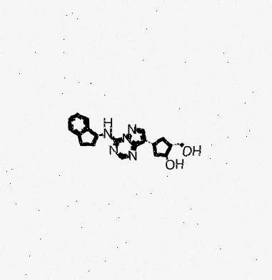 OC[C@H]1C[C@@H](c2cnn3c(N[C@H]4CCc5ccccc54)ncnc23)C[C@@H]1O